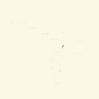 CC(C)[C@H](C[C@@H]1OC(C)(C)N(C(=O)OC(C)(C)C)[C@H]1CC1CCCCC1)NC(=O)OCCN(C)C